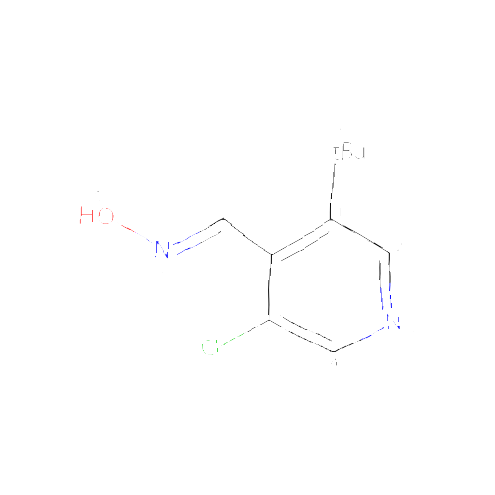 CC(C)(C)c1cncc(Cl)c1/C=N/O